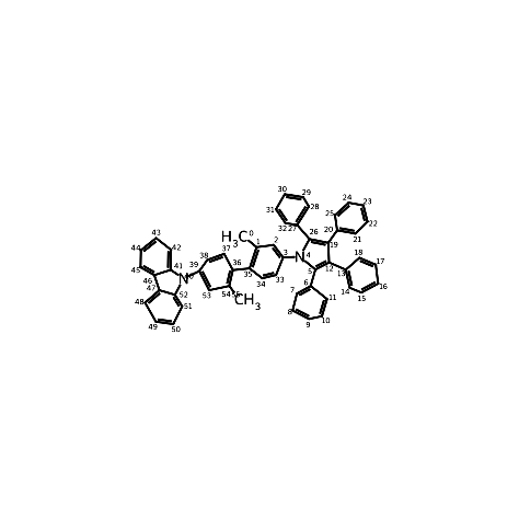 Cc1cc(-n2c(-c3ccccc3)c(-c3ccccc3)c(-c3ccccc3)c2-c2ccccc2)ccc1-c1ccc(-n2c3ccccc3c3ccccc32)cc1C